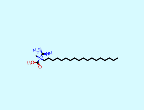 CCCCCCCCCCCCCCCCCC[N+](C)(C(=N)N)C(=O)O